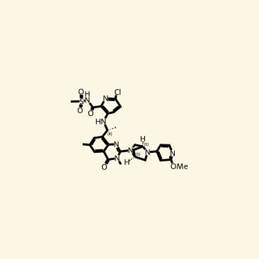 COc1cc(N2C[C@@H]3C[C@H]2CN3c2nc3c([C@@H](C)Nc4ccc(Cl)nc4C(=O)NS(C)(=O)=O)cc(C)cc3c(=O)n2C)ccn1